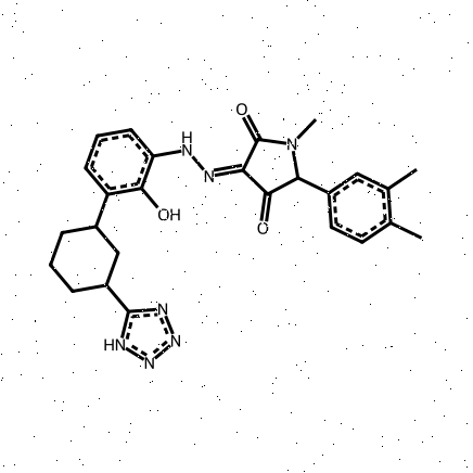 Cc1ccc(C2C(=O)/C(=N/Nc3cccc(C4CCCC(c5nnn[nH]5)C4)c3O)C(=O)N2C)cc1C